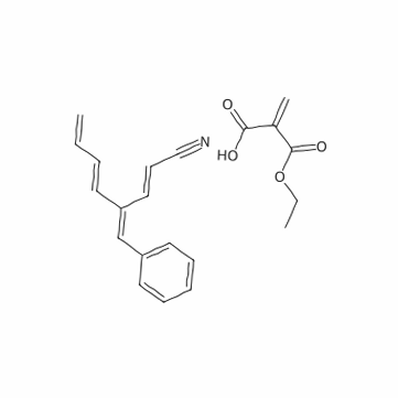 C=C(C(=O)O)C(=O)OCC.C=CC=CC(C=CC#N)=Cc1ccccc1